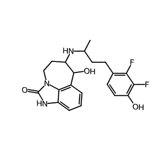 CC(CCc1ccc(O)c(F)c1F)NC1CCn2c(=O)[nH]c3cccc(c32)C1O